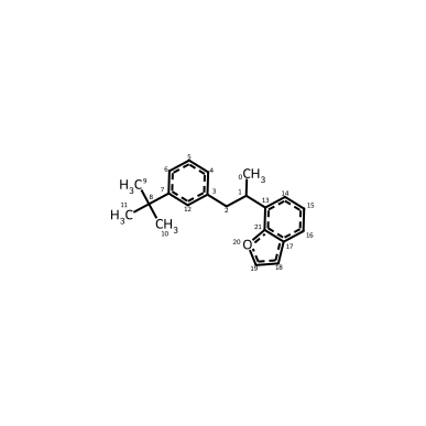 CC(Cc1cccc(C(C)(C)C)c1)c1cccc2ccoc12